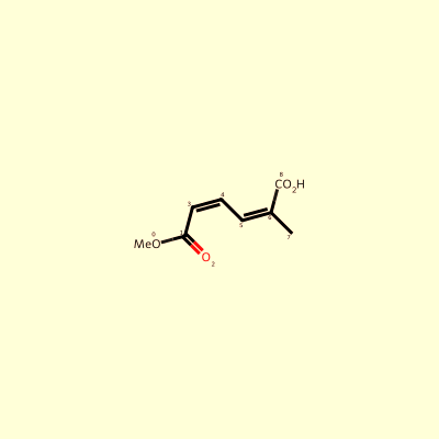 COC(=O)/C=C\C=C(\C)C(=O)O